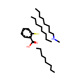 CCCCCCCC.CCCCCCCC.CCCCCCCCNC.O=C(O)c1ccccc1S